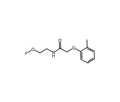 Cc1ccccc1OCC(=O)NCCOF